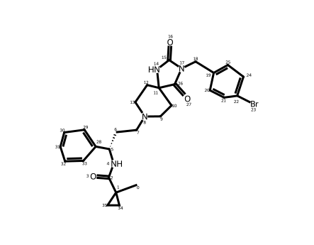 CC1(C(=O)N[C@@H](CCN2CCC3(CC2)NC(=O)N(Cc2ccc(Br)cc2)C3=O)c2ccccc2)CC1